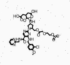 COc1ccc(CNc2nc(N3CCCC3COC(=O)COCCO[N+](=O)[O-])ncc2C(=O)NCc2ncccn2)cc1Cl.O=C(O)CC(CC(=O)O)C(=O)OO